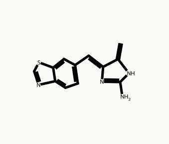 C=c1[nH]c(N)n/c1=C\c1ccc2ncsc2c1